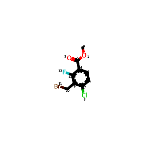 COC(=O)c1ccc(Cl)c(CBr)c1F